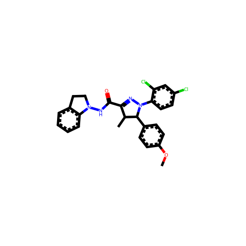 COc1ccc(C2C(C)C(C(=O)NN3CCc4ccccc43)=NN2c2ccc(Cl)cc2Cl)cc1